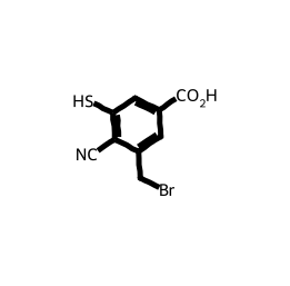 N#Cc1c(S)cc(C(=O)O)cc1CBr